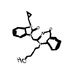 O=c1nc(Cn2c(=O)n(C3CC3)c3ccccc32)n(CCCCO)c2ccccc12